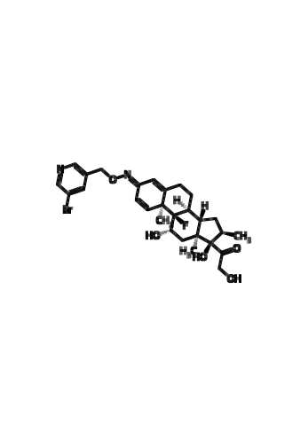 C[C@@H]1C[C@H]2[C@@H]3CCC4=C/C(=N/OCc5cncc(Br)c5)C=C[C@]4(C)[C@@]3(F)[C@@H](O)C[C@]2(C)[C@@]1(O)C(=O)CO